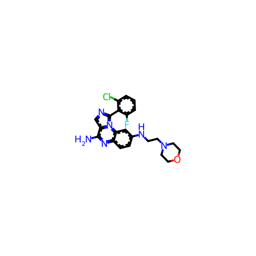 Nc1nc2ccc(NCCN3CCOCC3)cc2n2c(-c3c(F)cccc3Cl)ncc12